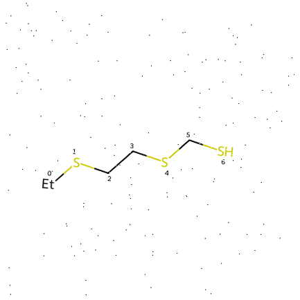 CCSCCSCS